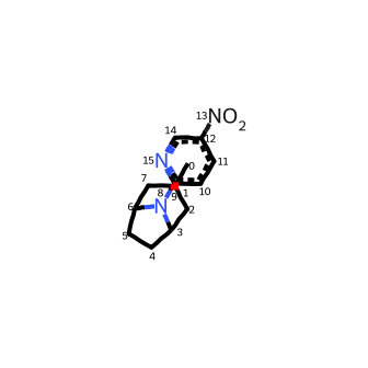 CC1CC2CCC(C1)N2c1ccc([N+](=O)[O-])cn1